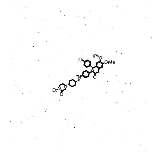 CCN1CCN([C@H]2CC[C@H](CN(C)c3ccc(N4C(=O)Cc5cc(OC)c(OC(C)C)cc5[C@@H]4c4ccc(Cl)cc4)cc3)CC2)CC1=O